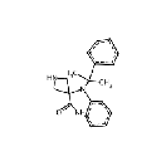 CC(C)(c1ccccc1)N(c1ccccc1)C1(C(N)=O)CNC1